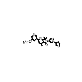 COC1CN=CC(C2=CC(C)C3C(=O)N(c4cnn([C@@H]5CCOC5)c4)C(C)(C)C3=N2)C1